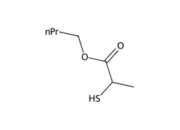 CCCCOC(=O)C(C)S